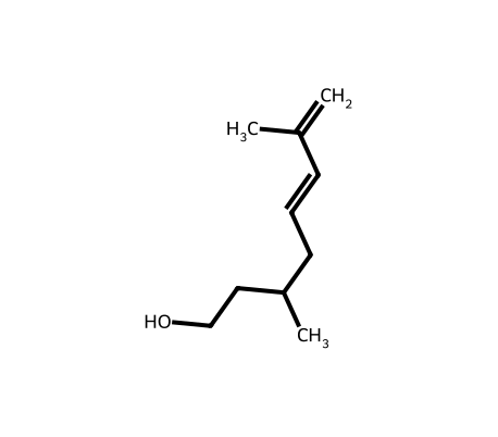 C=C(C)C=CCC(C)CCO